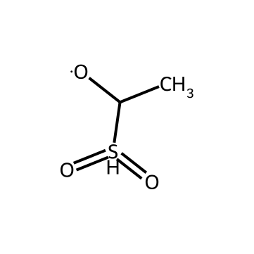 CC([O])[SH](=O)=O